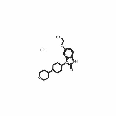 Cl.O=c1[nH]c2ccc(OCC(F)(F)F)cc2n1C1CCN(C2CCOCC2)CC1